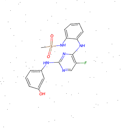 CS(=O)(=O)Nc1ccccc1Nc1nc(Nc2cccc(O)c2)ncc1F